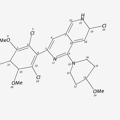 COC1=C(Cl)C(c2cc3c(c(N4CCC(OC)CC4)n2)=CC(Cl)NC=3)=C(Cl)C(OC)C1C